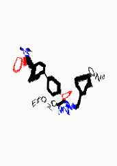 CCOC(=O)c1nnn(Cc2ccc(OC)cc2)c1O[C@H]1CC[C@H](c2ccc(C(=O)N(C)C)cc2)CC1